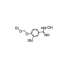 CCOCOc1ccc(C(=N)NO)cc1C(C)(C)C